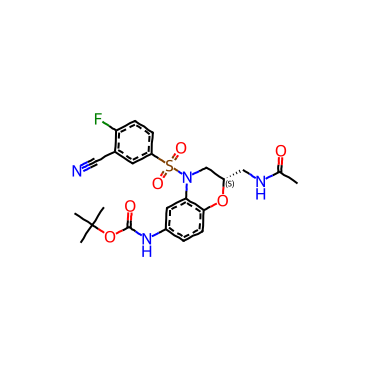 CC(=O)NC[C@H]1CN(S(=O)(=O)c2ccc(F)c(C#N)c2)c2cc(NC(=O)OC(C)(C)C)ccc2O1